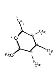 CC(=O)OC1OC(C)[C@H](OC(C)=O)C(OC(C)=O)[C@@H]1OC(C)=O